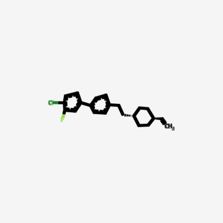 C=C[C@H]1CC[C@H](CCc2ccc(-c3ccc(Cl)c(F)c3)cc2)CC1